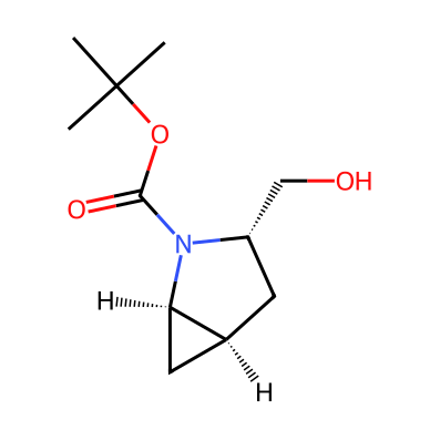 CC(C)(C)OC(=O)N1[C@H](CO)C[C@H]2C[C@H]21